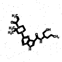 C=CC(=O)N1CCN(c2cnc3[nH]cc(C(=O)NC(CO)CCC)c3n2)CC1(C)C